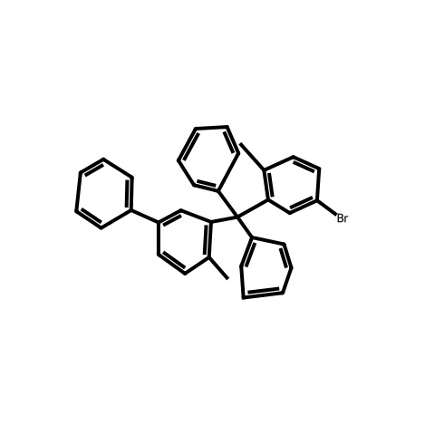 Cc1ccc(Br)cc1C(c1ccccc1)(c1ccccc1)c1cc(-c2ccccc2)ccc1C